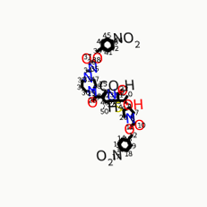 CC(O)C1(SC2CCN(C(=O)OCc3ccc([N+](=O)[O-])cc3)C2)C(=O)N2C(C(=O)O)=C(C(=O)N3CCCN(C=NC(=O)OCc4ccc([N+](=O)[O-])cc4)CC3)[C@@H](C)[C@H]21